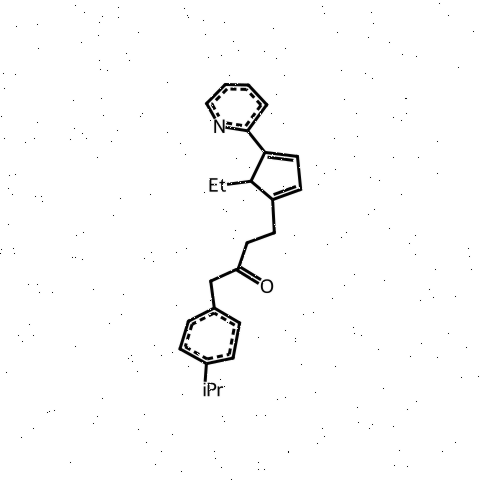 CCC1C(CCC(=O)Cc2ccc(C(C)C)cc2)=CC=C1c1ccccn1